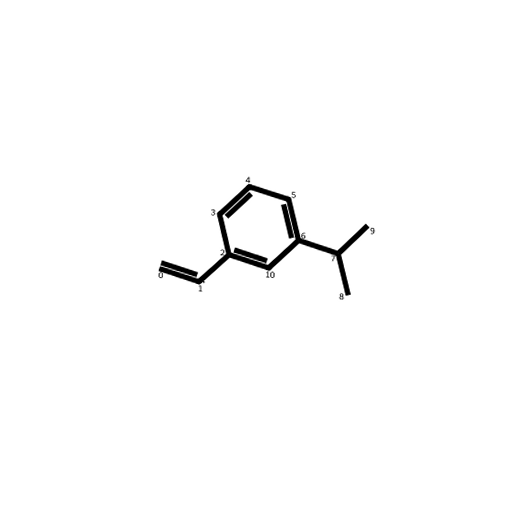 C=[C]c1cccc(C(C)C)c1